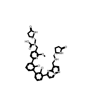 COc1nc(-c2cccc(-c3cccc(-c4ccn5ncc(CNC[C@@H]6CCC(=O)N6)c5n4)c3Cl)c2Cl)ccc1CN(C[C@@H]1CCC(=O)N1)C(=O)O